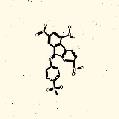 CS(=O)(=O)c1ccc(/N=C2\c3cc([N+](=O)[O-])ccc3-c3c2cc([N+](=O)[O-])cc3[N+](=O)[O-])cc1